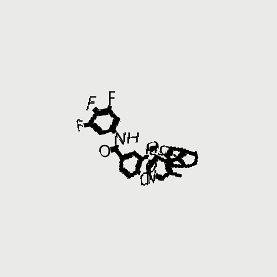 Cc1cnccc1[C@]1(O)C2CCC1C[C@@H](S(=O)(=O)c1cc(C(=O)Nc3cc(F)c(F)c(F)c3)ccc1Cl)C2